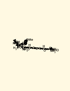 C=C[C@@H]1C[C@]1(NC(=O)[C@@H]1C[C@@H](Oc2nccc3cc(OC)ccc23)CN1C(=O)[C@H](CN)NC(=O)CCCC(=O)NCCCOCCOCCOCCCNC(=O)CCCC[C@@H]1SC[C@H](NC=O)[C@@H]1N)C(=O)NS(=O)(=O)C1CC1